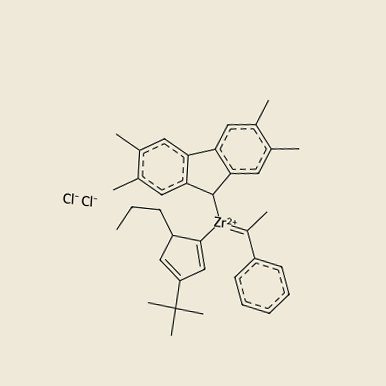 CCCC1C=C(C(C)(C)C)C=[C]1/[Zr+2](=[C](/C)c1ccccc1)[CH]1c2cc(C)c(C)cc2-c2cc(C)c(C)cc21.[Cl-].[Cl-]